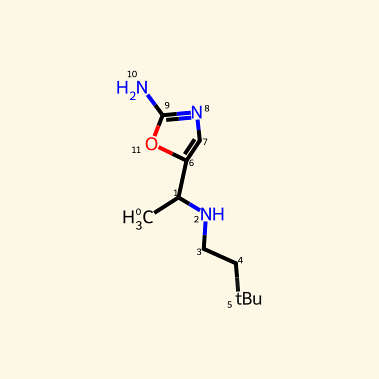 CC(NCCC(C)(C)C)c1cnc(N)o1